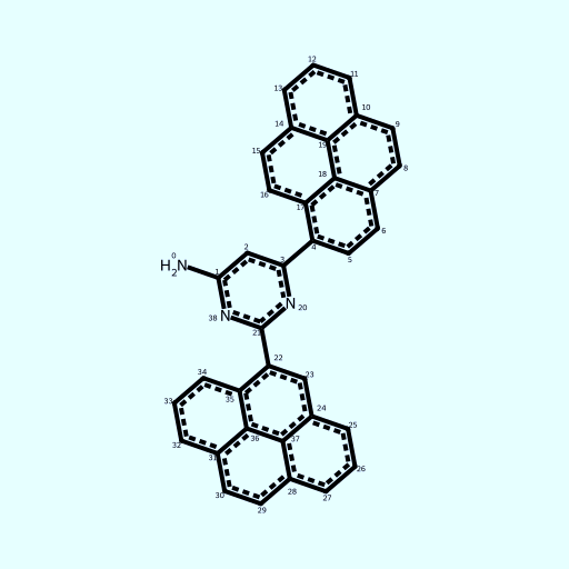 Nc1cc(-c2ccc3ccc4cccc5ccc2c3c45)nc(-c2cc3cccc4ccc5cccc2c5c43)n1